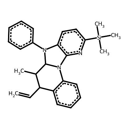 C=CC1c2ccccc2N2c3nc([Si](C)(C)C)ccc3N(c3ccccc3)C2C1C